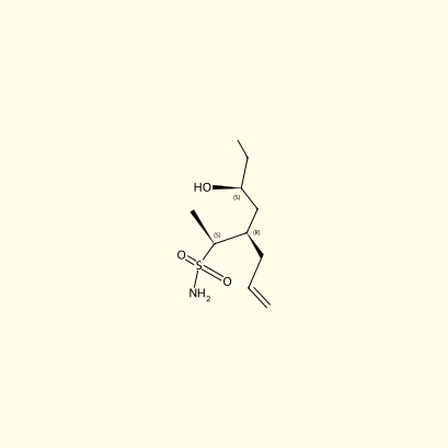 C=CC[C@H](C[C@@H](O)CC)[C@H](C)S(N)(=O)=O